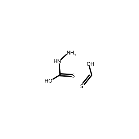 NNC(O)=S.OC=S